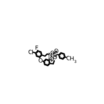 Cc1ccc(S(=O)(=O)ONCCc2cc(F)c(Cl)cc2Oc2ccc3c(c2)OCC3)cc1